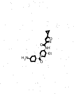 CC[C@@H]1CN(C(=O)[C@H]2CC[C@H](N)CC2)CC[C@@H]1NC(=O)c1cc(C2CC2)on1